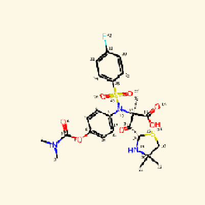 CN(C)C(=O)Oc1ccc(N([C@@](C)(C(=O)O)C(=O)[C@H]2NC(C)(C)CS2)S(=O)(=O)c2ccc(F)cc2)cc1